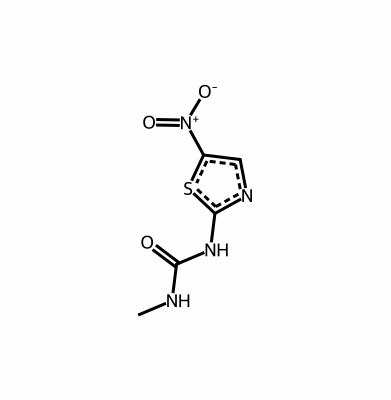 CNC(=O)Nc1ncc([N+](=O)[O-])s1